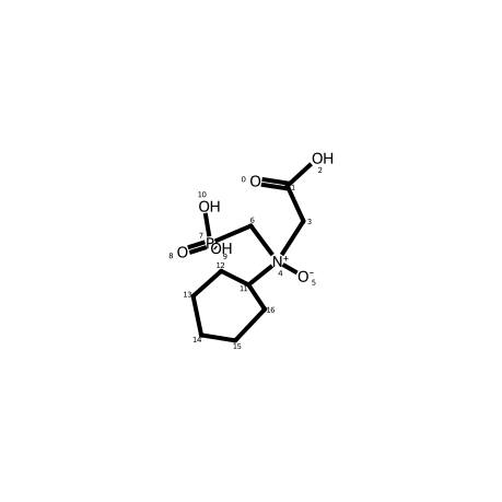 O=C(O)C[N+]([O-])(CP(=O)(O)O)C1CCCCC1